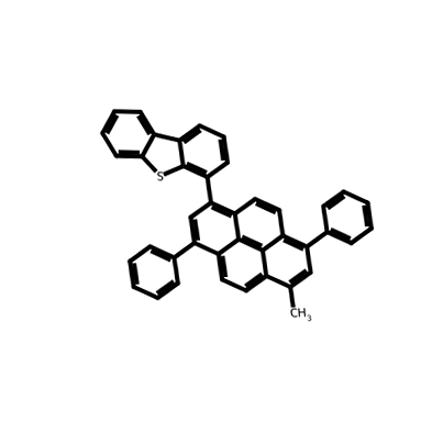 Cc1cc(-c2ccccc2)c2ccc3c(-c4cccc5c4sc4ccccc45)cc(-c4ccccc4)c4ccc1c2c43